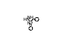 NNC1=NN(c2ccccc2)CC1=Cc1ccccc1